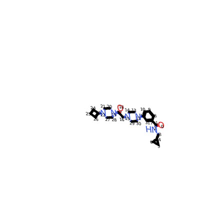 O=C(NCC1CC1)c1cccc(N2CCN(CC(=O)N3CCN(C4CCC4)CC3)CC2)c1